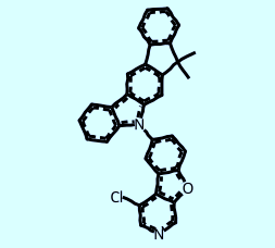 CC1(C)c2ccccc2-c2cc3c4ccccc4n(-c4ccc5oc6cncc(Cl)c6c5c4)c3cc21